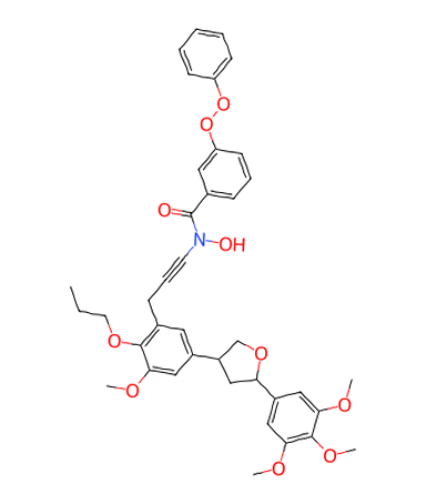 CCCOc1c(CC#CN(O)C(=O)c2cccc(OOc3ccccc3)c2)cc(C2COC(c3cc(OC)c(OC)c(OC)c3)C2)cc1OC